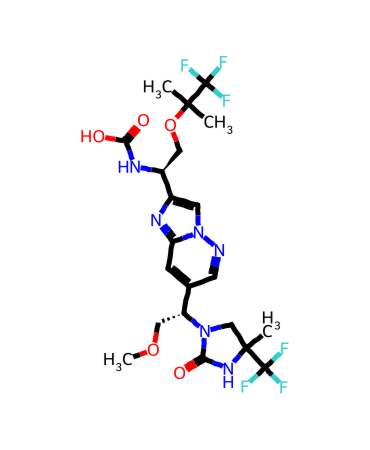 COC[C@H](c1cnn2cc([C@H](COC(C)(C)C(F)(F)F)NC(=O)O)nc2c1)N1CC(C)(C(F)(F)F)NC1=O